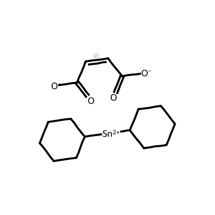 C1CC[CH]([Sn+2][CH]2CCCCC2)CC1.O=C([O-])/C=C\C(=O)[O-]